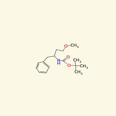 COCCC(Cc1ccccc1)NC(=O)OC(C)(C)C